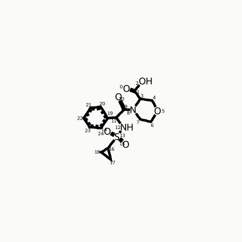 O=C(O)C1COCCN1C(=O)C(NS(=O)(=O)C1CC1)c1ccccc1